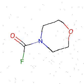 O=C(F)N1CCOCC1